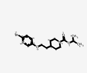 CC(C)OC(=O)N1CCC(CCOc2ccc(Br)nc2)CC1